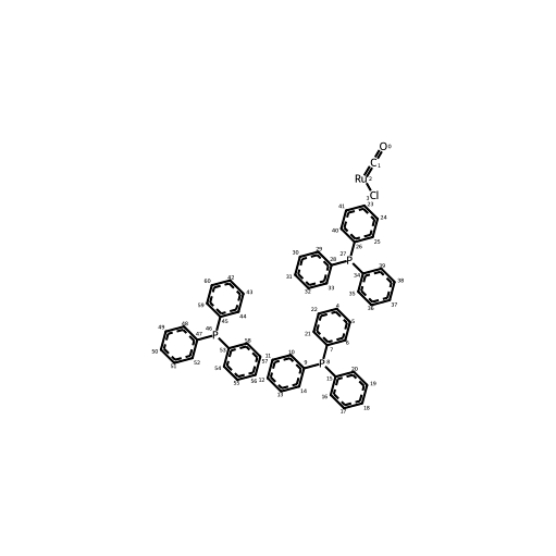 O=[C]=[Ru][Cl].c1ccc(P(c2ccccc2)c2ccccc2)cc1.c1ccc(P(c2ccccc2)c2ccccc2)cc1.c1ccc(P(c2ccccc2)c2ccccc2)cc1